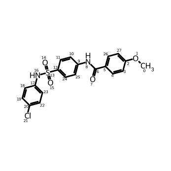 COc1ccc(C(=O)Nc2ccc(S(=O)(=O)Nc3ccc(Cl)cc3)cc2)cc1